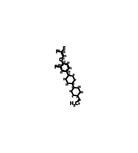 C=CC1CCC(C2CCC(c3ccc(OC=C(F)F)c(F)c3)CC2)CC1